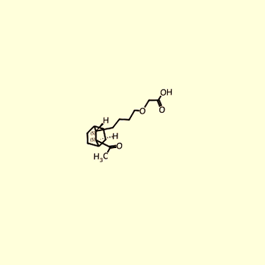 CC(=O)[C@H]1C2CCC(CC2)[C@@H]1CCCCOCC(=O)O